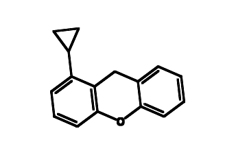 c1ccc2c(c1)Cc1c(cccc1C1CC1)O2